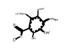 CCCCCCCc1c(O)c(O)c(C(=O)OCl)c(CCCCCCC)c1CCCCCCC